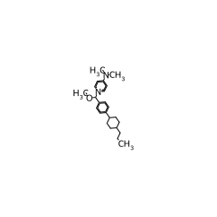 CCCC1CCC(c2ccc(C(OC)[n+]3ccc(N(C)C)cc3)cc2)CC1